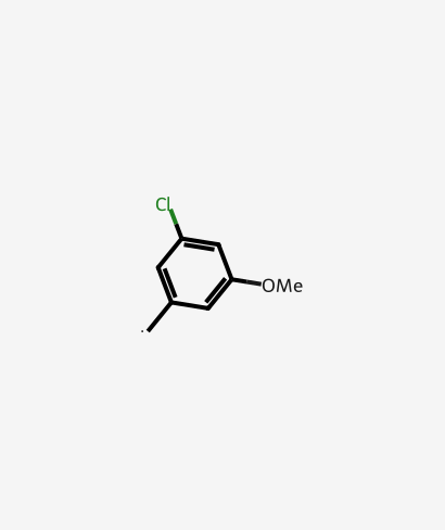 [CH2]c1cc(Cl)cc(OC)c1